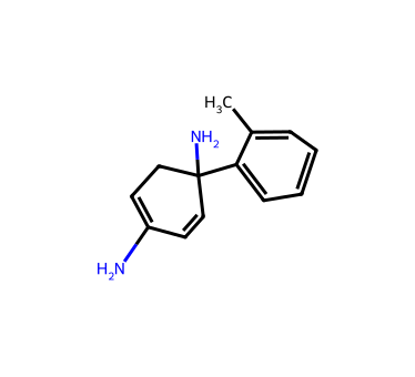 Cc1ccccc1C1(N)C=CC(N)=CC1